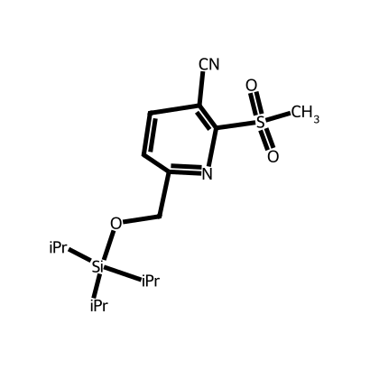 CC(C)[Si](OCc1ccc(C#N)c(S(C)(=O)=O)n1)(C(C)C)C(C)C